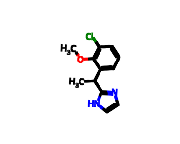 COc1c(Cl)cccc1C(C)c1ncc[nH]1